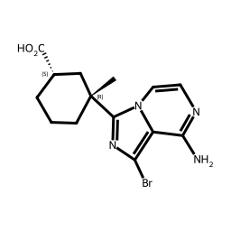 C[C@@]1(c2nc(Br)c3c(N)nccn23)CCC[C@H](C(=O)O)C1